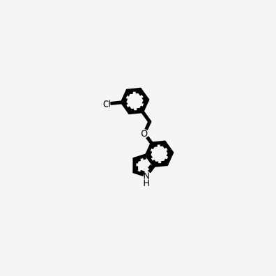 Clc1cccc(COc2cccc3[nH]ccc23)c1